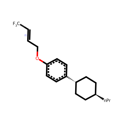 CCC[C@H]1CC[C@H](c2ccc(OC/C=C/C(F)(F)F)cc2)CC1